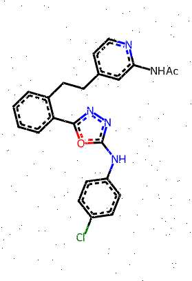 CC(=O)Nc1cc(CCc2ccccc2-c2nnc(Nc3ccc(Cl)cc3)o2)ccn1